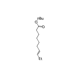 CC/C=C/CCCCCC(=O)OCCCC